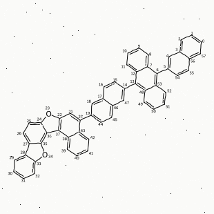 c1ccc2cc(-c3c4ccccc4c(-c4ccc5cc(-c6cc7oc8ccc9c%10ccccc%10oc9c8c7c7ccccc67)ccc5c4)c4ccccc34)ccc2c1